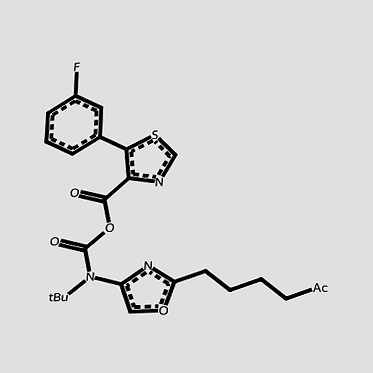 CC(=O)CCCCc1nc(N(C(=O)OC(=O)c2ncsc2-c2cccc(F)c2)C(C)(C)C)co1